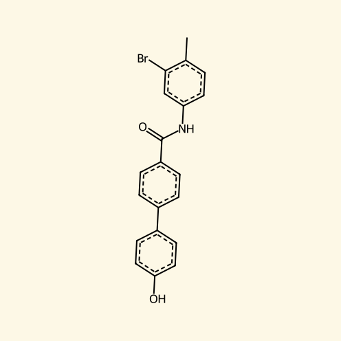 Cc1ccc(NC(=O)c2ccc(-c3ccc(O)cc3)cc2)cc1Br